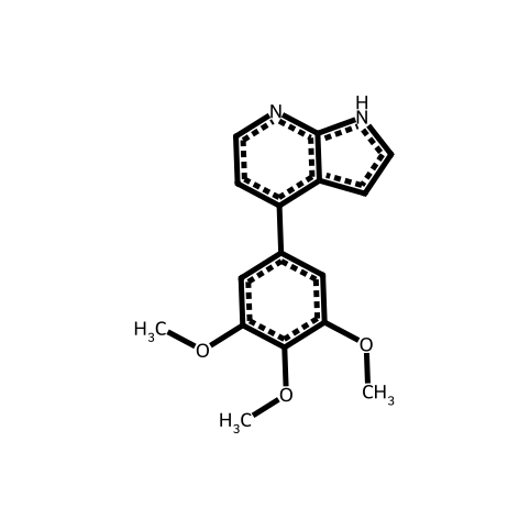 COc1cc(-c2ccnc3[nH]ccc23)cc(OC)c1OC